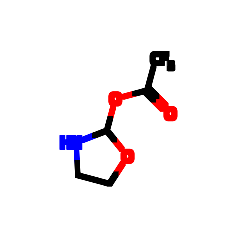 O=C(OC1NCCO1)C(F)(F)F